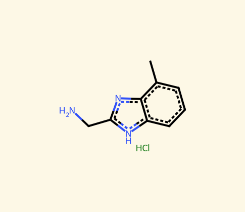 Cc1cccc2[nH]c(CN)nc12.Cl